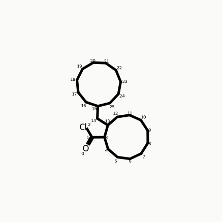 O=C(Cl)C1CCCCCCCCCC1CC1CCCCCCCCCC1